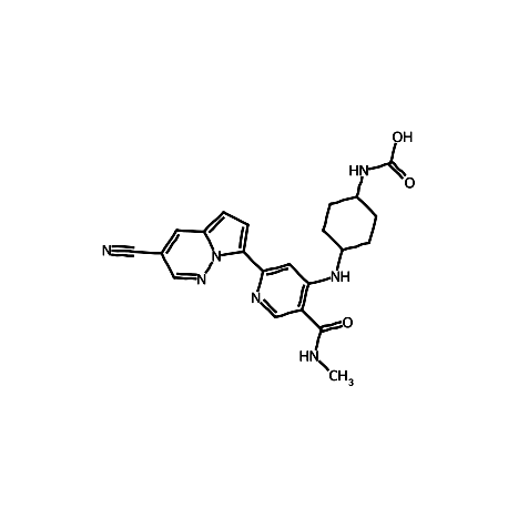 CNC(=O)c1cnc(-c2ccc3cc(C#N)cnn23)cc1NC1CCC(NC(=O)O)CC1